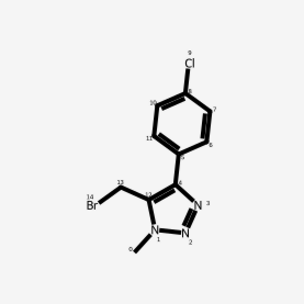 Cn1nnc(-c2ccc(Cl)cc2)c1CBr